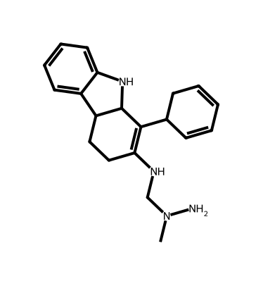 CN(N)CNC1=C(C2C=CC=CC2)C2Nc3ccccc3C2CC1